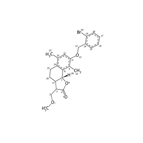 COCC1C(=O)O[C@H]2c3c(C)c(OCc4ccccc4Br)cc(C)c3CCC12